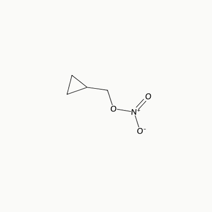 O=[N+]([O-])OCC1CC1